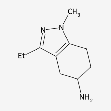 CCc1nn(C)c2c1CC(N)CC2